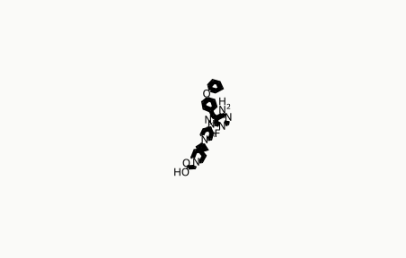 Nc1ncnc2c1c(-c1ccc(Oc3ccccc3)cc1)nn2[C@@H]1CCN(C2CC3(CCN(CC(=O)O)CC3)C2)C[C@H]1F